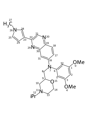 COc1cc(OC)cc(N(CC2CN(C(C)C)CCO2)c2ccc3ncc(-c4ccn(C)c4)nc3c2)c1